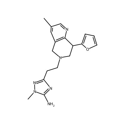 Cc1cnc2c(c1)CN(CCc1nc(N)n(C)n1)CC2c1ccco1